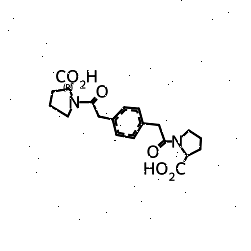 O=C(O)C1CCCN1C(=O)Cc1ccc(CC(=O)N2CCC[C@@H]2C(=O)O)cc1